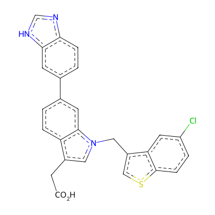 O=C(O)Cc1cn(Cc2csc3ccc(Cl)cc23)c2cc(-c3ccc4nc[nH]c4c3)ccc12